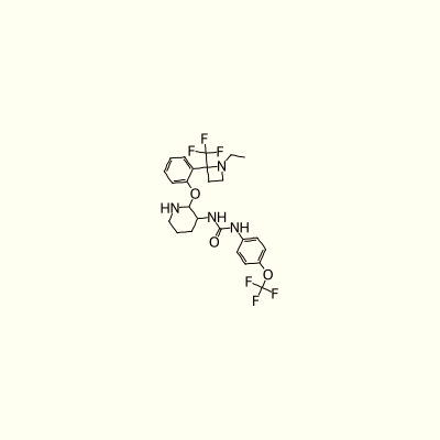 CCN1CCC1(c1ccccc1OC1NCCCC1NC(=O)Nc1ccc(OC(F)(F)F)cc1)C(F)(F)F